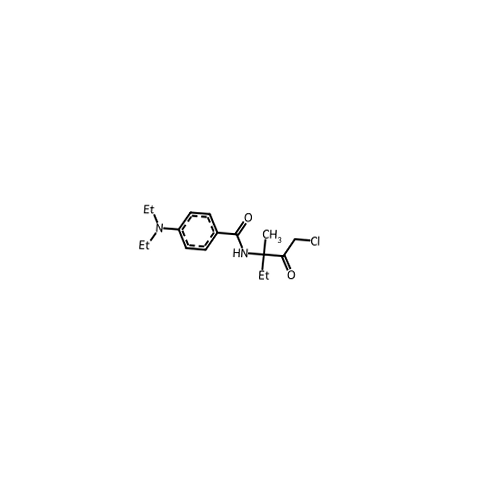 CCN(CC)c1ccc(C(=O)NC(C)(CC)C(=O)CCl)cc1